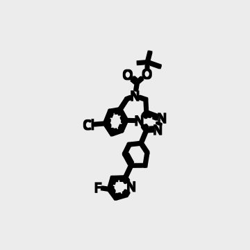 CC(C)(C)OC(=O)N1Cc2cc(Cl)ccc2-n2c(nnc2C2CC=C(c3cc(F)ccn3)CC2)C1